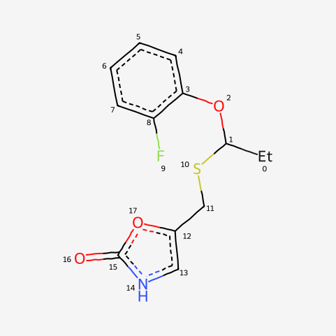 CCC(Oc1ccccc1F)SCc1c[nH]c(=O)o1